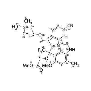 COC(=O)COC(c1c(OC)cc(C)c2c1CCN2)(c1nc2cc(C#N)ccc2n1COCC[Si](C)(C)C)C(F)(F)F